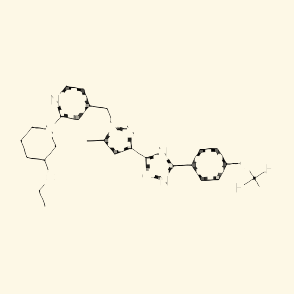 CCOC1CCCN(c2cc(Cn3nc(-c4nc(-c5ccc(OC(F)(F)F)cc5)no4)cc3C)ccn2)C1